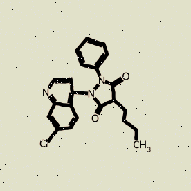 CCCCC1C(=O)N(c2ccccc2)N(c2ccnc3cc(Cl)ccc23)C1=O